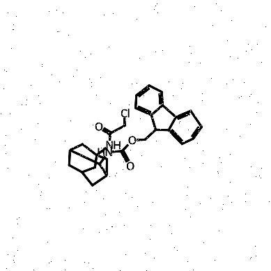 O=C(CCl)NC12CC3CC(C1)C(NC(=O)OCC1c4ccccc4-c4ccccc41)C(C3)C2